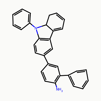 Nc1ccc(-c2ccc3c(c2)C2=CC=CCC2N3c2ccccc2)cc1-c1ccccc1